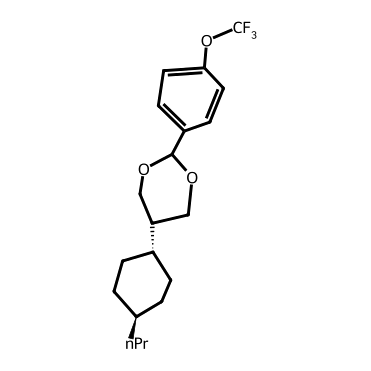 CCC[C@H]1CC[C@H](C2COC(c3ccc(OC(F)(F)F)cc3)OC2)CC1